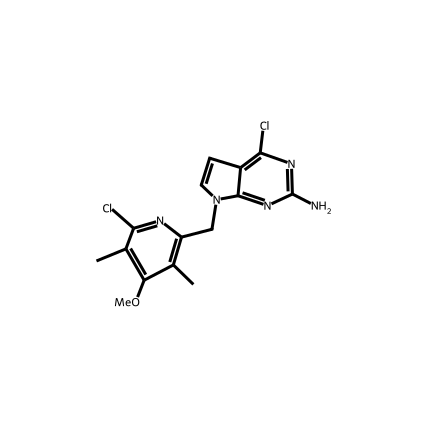 COc1c(C)c(Cl)nc(Cn2ccc3c(Cl)nc(N)nc32)c1C